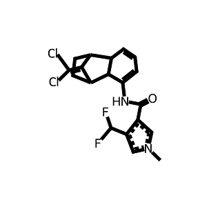 Cn1cc(C(=O)NC2=CC=CC3C4CCC(C4=C(Cl)Cl)C23)c(C(F)F)c1